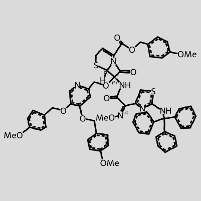 CO/N=C(\C(=O)N[C@]1(OCc2cc(OCc3ccc(OC)cc3)c(OCc3ccc(OC)cc3)cn2)C(=O)N2C(C(=O)OCc3ccc(OC)cc3)=CCS[C@H]21)c1csc(NC(c2ccccc2)(c2ccccc2)c2ccccc2)n1